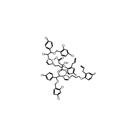 C=CCc1cc(F)ccc1OCCCn1ccn(C(Cl)C(OCc2ccc(Cl)cc2Cl)c2ccc(Cl)cc2)[c+]1OC(=O)CC(O)C(=O)O[c+]1n(CCCOc2ccc(F)cc2CC=C)ccn1C(Cl)C(OCc1ccc(Cl)cc1Cl)c1ccc(Cl)cc1